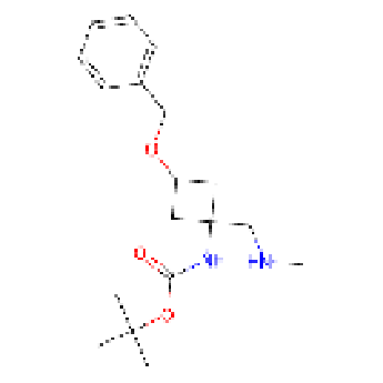 CNCC1(NC(=O)OC(C)(C)C)CC(OCc2ccccc2)C1